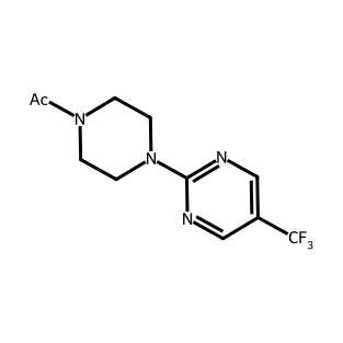 [CH2]C(=O)N1CCN(c2ncc(C(F)(F)F)cn2)CC1